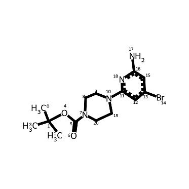 CC(C)(C)OC(=O)N1CCN(c2cc(Br)cc(N)n2)CC1